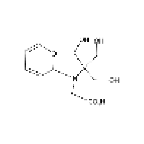 O=C(O)CN(C1C=CC=CO1)C(CO)(CO)CO